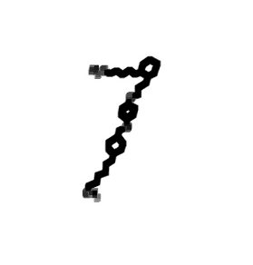 CCCCCCCC1CCC(COc2ccc(OCCCC3CCCCC3CCCCCC)cc2)CC1